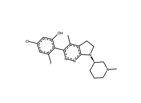 Cc1c(-c2c(O)cc(Cl)cc2F)nnc2c1CCN2[C@@H]1CCCN(C)C1